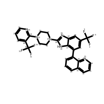 FC(F)(F)c1cc(-c2cccc3cccnc23)c2[nH]c(N3CCN(c4ncccc4C(F)(F)F)CC3)nc2c1